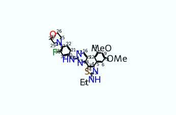 CCNc1nc(-c2cc(OC)cc(OC)c2)c(-c2ccnc(Nc3ccc(N4CCOCC4)c(F)c3)n2)s1